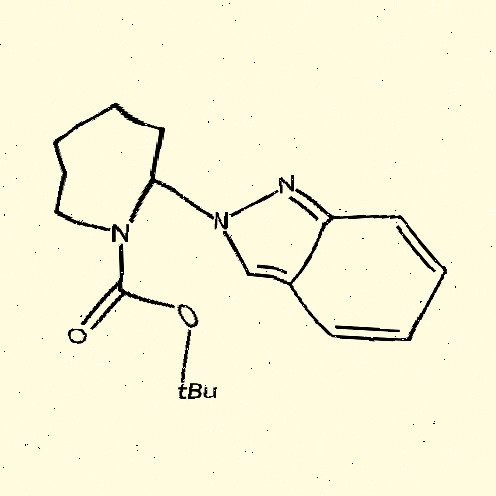 CC(C)(C)OC(=O)N1CCCCC1n1cc2ccccc2n1